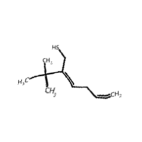 C=CC/C=C(\CS)C(C)(C)C